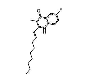 CCCCCCC/C=C/c1[nH]c2ccc(F)cc2c(=O)c1C